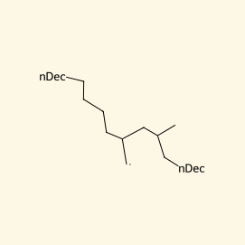 [CH2]C(CCCCCCCCCCCCCC)CC(C)CCCCCCCCCCC